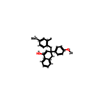 CCOc1ccc(C2(Cc3ccc(OC)cc3C)C=C(O)c3ccccc3C2)cc1